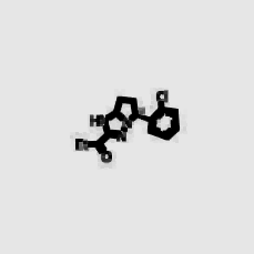 CCC(=O)C1=NN2C(CC[C@H]2c2ccccc2Cl)N1